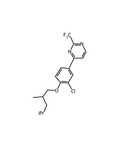 CC(C)CC(C)COc1ccc(-c2ccnc(C(F)(F)F)n2)cc1Cl